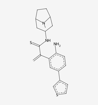 C=C(C(=S)NC1CC2CCC(C1)N2C)c1cc(-c2ccsc2)ccc1N